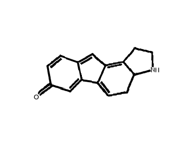 O=C1C=CC2=CC3=C4CCNC4CC=C3C2=C1